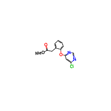 COC(=O)Cc1ccccc1Oc1cc(Cl)ncn1